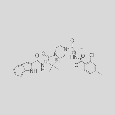 Cc1ccc(S(=O)(=O)N[C@@H](C)C(=O)N2CCN(C(=O)[C@@H](NC(=O)c3cc4ccccc4[nH]3)C(C)(C)C)[C@@H](C)C2)c(Cl)c1